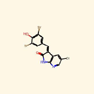 CCc1cnc2c(c1)C(=Cc1cc(Br)c(O)c(Br)c1)C(=O)N2